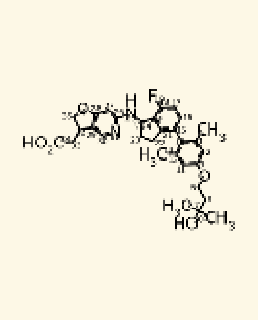 Cc1cc(OCCC(C)(C)O)cc(C)c1-c1ccc(F)c2c1CC[C@H]2Nc1cc2c(cn1)C(CC(=O)O)CO2